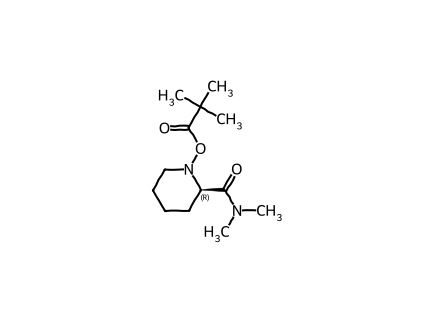 CN(C)C(=O)[C@H]1CCCCN1OC(=O)C(C)(C)C